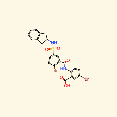 O=C(Nc1ccc(Br)cc1C(=O)O)c1cc(S(=O)(=O)NC2Cc3ccccc3C2)ccc1Br